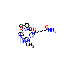 Cc1nc(Nc2ncc(C(=O)Nc3c(C)cccc3Cl)s2)cc(N2CCN(C(=O)CCCCCC(N)=O)CC2)n1